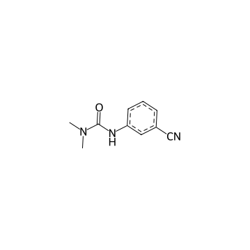 CN(C)C(=O)Nc1cccc(C#N)c1